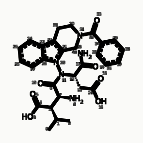 CC(C)[C@@H](C(=O)O)[C@H](N)C(=O)N([C@@H](CC(=O)O)C(N)=O)n1c2c(c3ccccc31)CCN(C(=O)c1ccccc1)C2